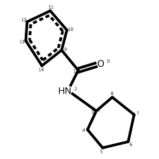 O=C(N[C]1CCCCC1)c1ccccc1